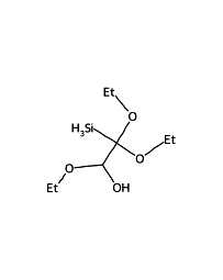 CCOC(O)C([SiH3])(OCC)OCC